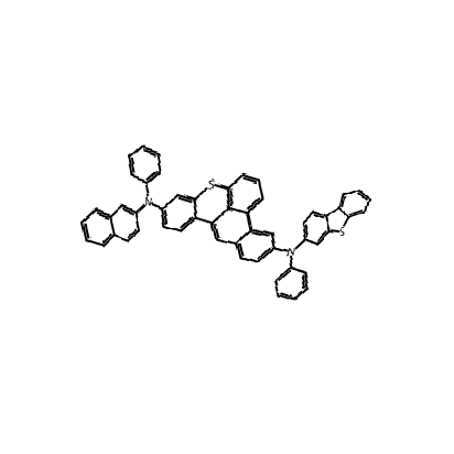 c1ccc(N(c2ccc3c(c2)Sc2cccc4c2c-3cc2ccc(N(c3ccccc3)c3ccc5c(c3)sc3ccccc35)cc24)c2ccc3ccccc3c2)cc1